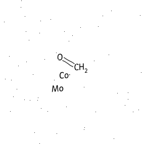 C=O.[Co].[Mo]